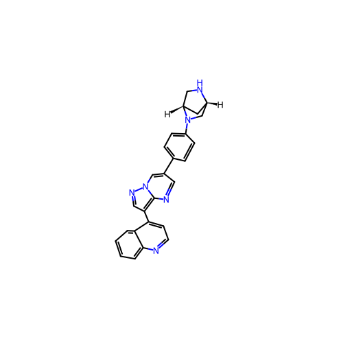 c1ccc2c(-c3cnn4cc(-c5ccc(N6C[C@@H]7C[C@H]6CN7)cc5)cnc34)ccnc2c1